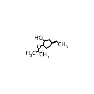 CC=C1CCC(OC(C)C)C(O)C1